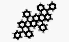 c1ccc(N2c3ccccc3B3c4ccc5c6c(ccc5c4N(c4ccccc4)c4cccc2c43)B2c3ccccc3N(c3ccccc3)c3cccc(c32)N6c2ccccc2)cc1